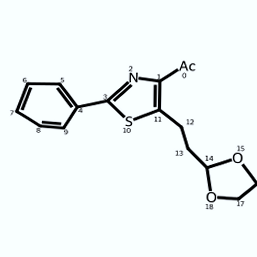 CC(=O)c1nc(-c2ccccc2)sc1CCC1OCCO1